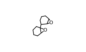 C1CCC2(C3CCCC4OC43)OC2C1